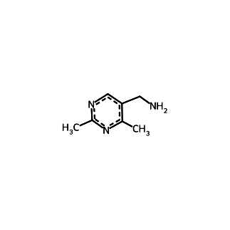 Cc1ncc(CN)c(C)n1